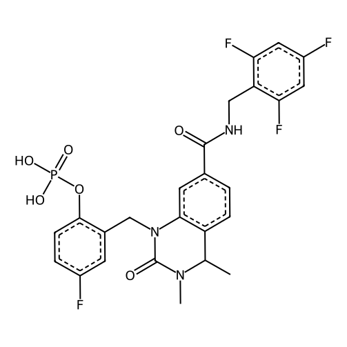 CC1c2ccc(C(=O)NCc3c(F)cc(F)cc3F)cc2N(Cc2cc(F)ccc2OP(=O)(O)O)C(=O)N1C